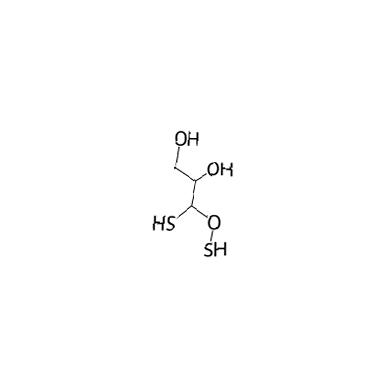 OCC(O)C(S)OS